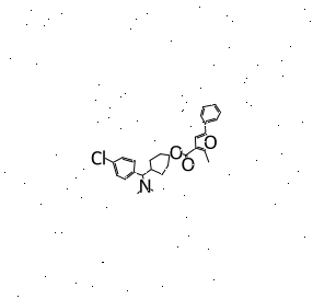 Cc1oc(-c2ccccc2)cc1C(=O)OC1CCC(C(c2ccc(Cl)cc2)N(C)C)CC1